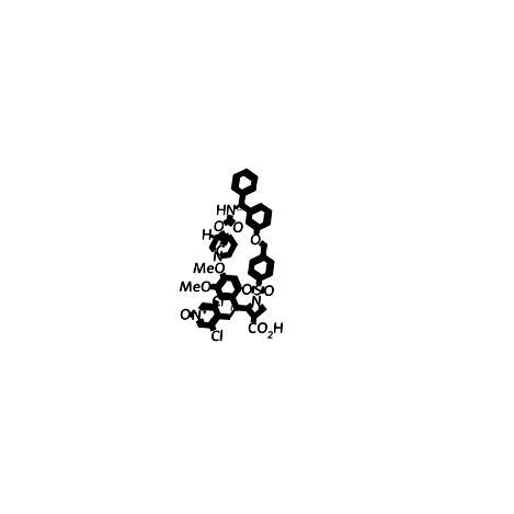 COc1ccc([C@H](Cc2c(Cl)c[n+]([O-])cc2Cl)C2C(C(=O)O)CN2S(=O)(=O)c2ccc(COc3cccc([C@@H](NC(=O)O[C@H]4CN5CCC4CC5)c4ccccc4)c3)cc2)cc1OC